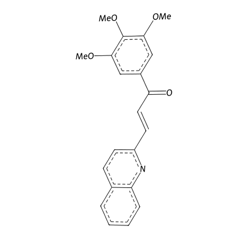 COc1cc(C(=O)/C=C/c2ccc3ccccc3n2)cc(OC)c1OC